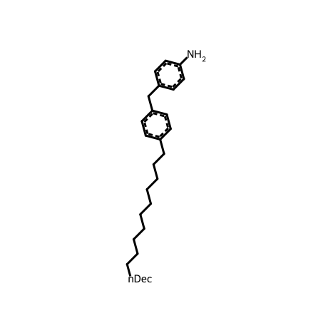 CCCCCCCCCCCCCCCCCCCCc1ccc(Cc2ccc(N)cc2)cc1